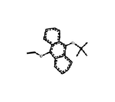 CCOc1c2ccccc2c(OC(C)(C)C)c2ccccc12